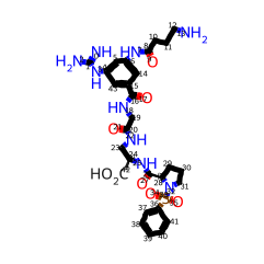 N=C(N)Nc1cc(NC(=O)CCCN)cc(C(=O)NCC(=O)NC[C@@H](NC(=O)[C@H]2CCCN2S(=O)(=O)c2ccccc2)C(=O)O)c1